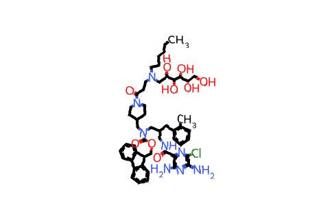 CCCCCCN(CCC(=O)N1CCC(CN(CC(CNC(=O)c2nc(Cl)c(N)nc2N)Cc2ccccc2C)C(=O)OCC2c3ccccc3-c3ccccc32)CC1)CC(O)C(O)C(O)C(O)CO